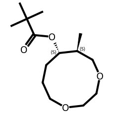 C[C@H]1COCCOCCC[C@@H]1OC(=O)C(C)(C)C